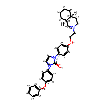 O=c1n(-c2ccc(OCCN3CC[C@H]4CCCC[C@@H]4C3)cc2)ccn1-c1ccc(Oc2ccccc2)cc1